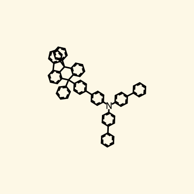 c1ccc(-c2ccc(N(c3ccc(-c4ccccc4)cc3)c3ccc(-c4ccc(C5(c6ccccc6)c6ccccc6C6(c7ccccc7)c7ccccc7-c7cccc5c76)cc4)cc3)cc2)cc1